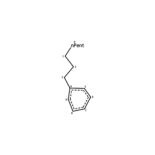 CCCCCCCCc1c[c][c]cc1